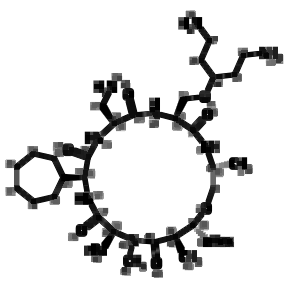 CCCCCC[C@H]1OC[C@@H](C)NC(=O)[C@H](COC(CCN)CCN)NC(=O)[C@H](CN)NC(=O)[C@H](C2CCCCCC2)NC(=O)[C@H](CCCC)N(C)C(=O)[C@@H]1C